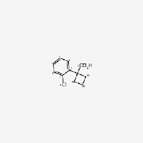 O=C(O)C1(c2ccccc2Cl)CCC1